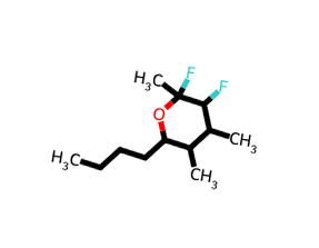 CCCCC1OC(C)(F)C(F)C(C)C1C